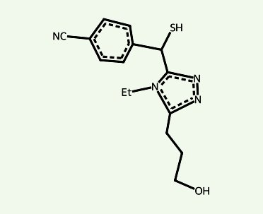 CCn1c(CCCO)nnc1C(S)c1ccc(C#N)cc1